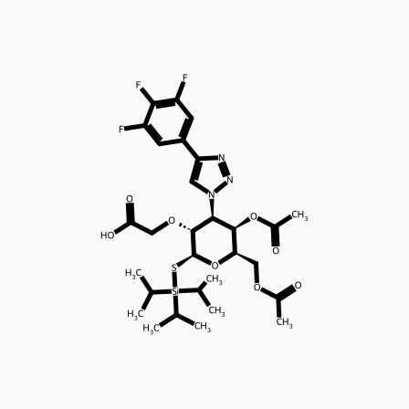 CC(=O)OC[C@H]1O[C@@H](S[Si](C(C)C)(C(C)C)C(C)C)[C@H](OCC(=O)O)[C@@H](n2cc(-c3cc(F)c(F)c(F)c3)nn2)[C@H]1OC(C)=O